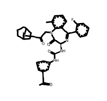 CC(=O)c1cccc(NC(=O)N[C@@H]2N=C(c3ccccc3F)c3cccc(C)c3N(CC(=O)N3CC4CCC(CC4)C3)C2=O)c1